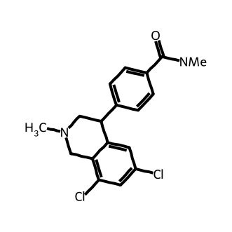 CNC(=O)c1ccc(C2CN(C)Cc3c(Cl)cc(Cl)cc32)cc1